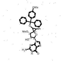 COc1ccc(C(OC2C(C(C)C)[C@@]23O[C@@H](n2cnc4c(=O)[nH]c(N)nc42)[C@H](O)[C@@H]3OC)(c2ccccc2)c2ccccc2)cc1